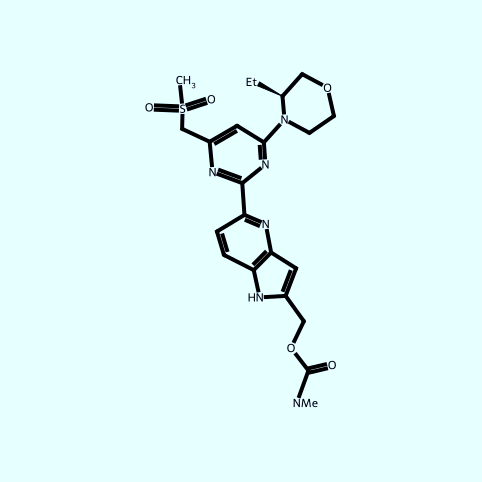 CC[C@H]1COCCN1c1cc(CS(C)(=O)=O)nc(-c2ccc3[nH]c(COC(=O)NC)cc3n2)n1